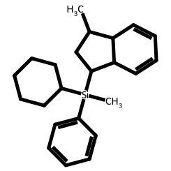 CC1CC([Si](C)(c2ccccc2)C2CCCCC2)C2C=CC=CC12